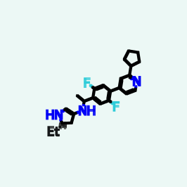 CC[C@H]1CC(NC(C)c2cc(F)c(-c3ccnc(C4CCCC4)c3)cc2F)=CN1